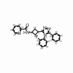 O=C(NC1CC(c2nnc(-c3ccccc3)n2-c2ccccc2F)C1)c1ccccn1